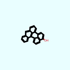 Oc1ccc2c3cccc4cc5ccccc5c(c5cccc1c25)c43